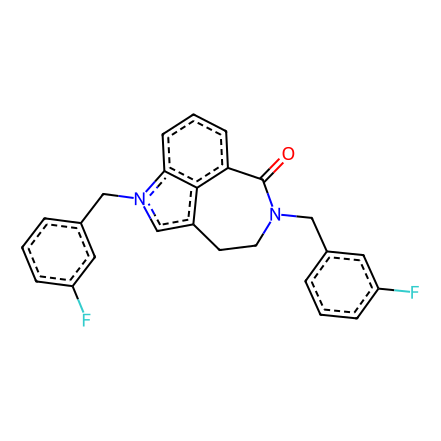 O=C1c2cccc3c2c(cn3Cc2cccc(F)c2)CCN1Cc1cccc(F)c1